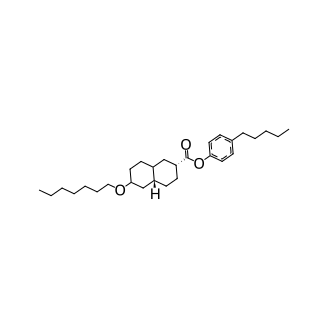 CCCCCCCOC1CCC2C[C@H](C(=O)Oc3ccc(CCCCC)cc3)CC[C@@H]2C1